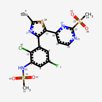 CC(C)(C)c1nc(-c2cc(F)cc(NS(C)(=O)=O)c2Cl)c(-c2ccnc(S(C)(=O)=O)n2)s1